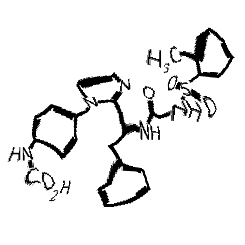 Cc1ccccc1S(=O)(=O)NC(=O)NC(Cc1ccccc1)c1nccn1-c1ccc(NC(=O)O)cc1